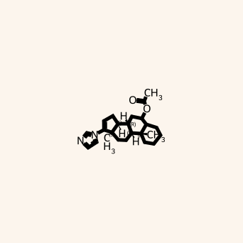 CC(=O)OC1C[C@@H]2[C@H](CC[C@]3(C)C(n4ccnc4)=CC[C@@H]23)[C@@]2(C)CCCCC12